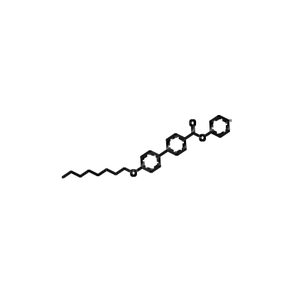 CCCCCCCCOc1ccc(-c2ccc(C(=O)Oc3cc[c]cc3)cc2)cc1